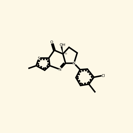 Cc1cc2c(s1)C(=O)[C@]1(O)CCN(c3ccc(C)c(Cl)c3)C1=N2